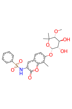 CO[C@@H]1[C@@H](O)[C@H](O)[C@H](Oc2ccc3cc(NS(=O)(=O)c4ccccc4)c(=O)oc3c2C)OC1(C)C